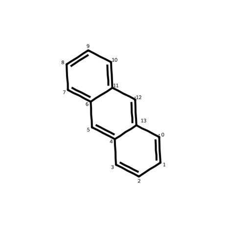 [c]1cccc2cc3ccccc3[c]c12